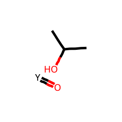 CC(C)O.[O]=[Y]